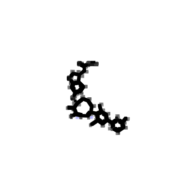 C=C1/C(F)=C\C=C(\c2c(C)cc(-c3nccc(C)n3)cc2C)CCC[C@H]1Oc1ccc2c(c1)OC[C@H]2CC(=O)OC